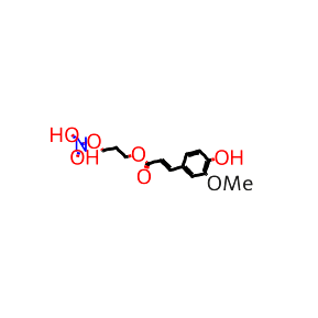 COc1cc(/C=C/C(=O)OCCCON(O)O)ccc1O